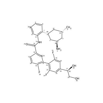 C[C@@H]1C[C@@H](N)C[C@H](c2ccncc2NC(=O)c2ccc(F)c(-c3c(F)cc([C@@H](O)CO)cc3F)n2)C1